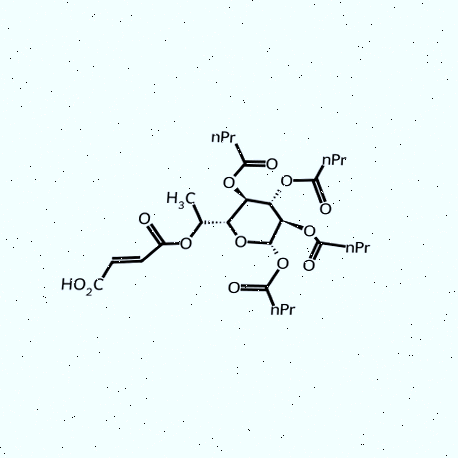 CCCC(=O)O[C@@H]1O[C@H](C(C)OC(=O)/C=C/C(=O)O)[C@@H](OC(=O)CCC)[C@H](OC(=O)CCC)[C@H]1OC(=O)CCC